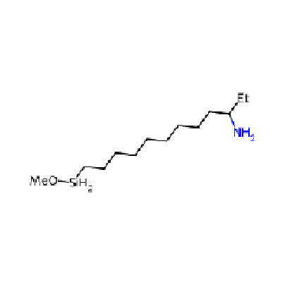 CCC(N)CCCCCCCCC[SiH2]OC